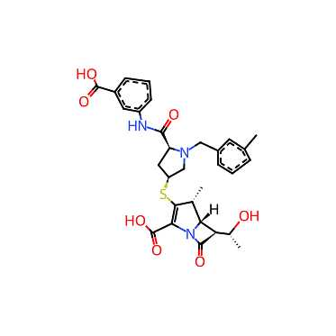 Cc1cccc(CN2C[C@@H](SC3=C(C(=O)O)N4C(=O)[C@H]([C@@H](C)O)[C@H]4[C@H]3C)C[C@H]2C(=O)Nc2cccc(C(=O)O)c2)c1